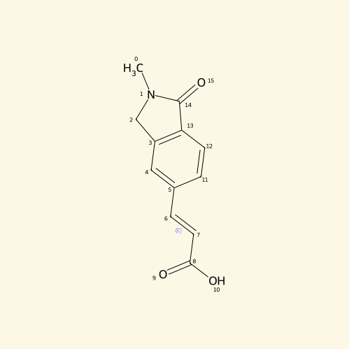 CN1Cc2cc(/C=C/C(=O)O)ccc2C1=O